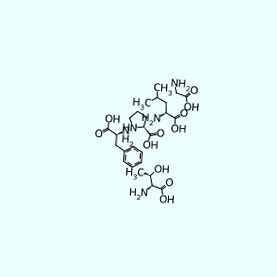 CC(C)C[C@H](N)C(=O)O.C[C@@H](O)[C@H](N)C(=O)O.NCC(=O)O.N[C@@H](Cc1ccccc1)C(=O)O.O=C(O)[C@@H]1CCCN1